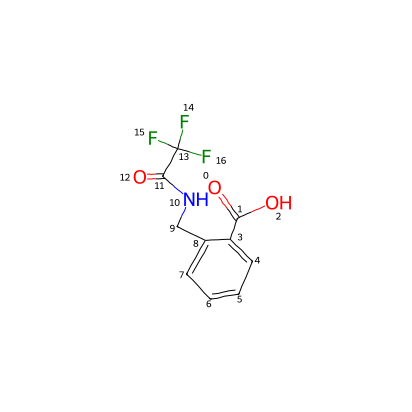 O=C(O)c1ccccc1CNC(=O)C(F)(F)F